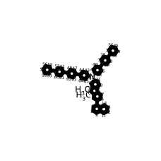 CC1(C)c2cc(-c3cccc4ccccc34)ccc2-c2ccc(N(c3ccc(-c4ccc(-c5ccccc5)cc4)cc3)c3ccc(-c4ccc(-c5ccc(-c6ccccc6)cc5)cc4)cc3)cc21